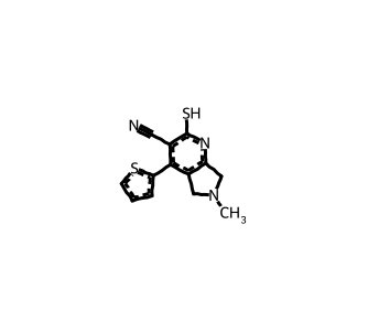 CN1Cc2nc(S)c(C#N)c(-c3cccs3)c2C1